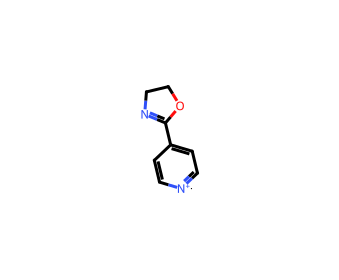 C1=CC(C2=NCCO2)=CC=[N+]1